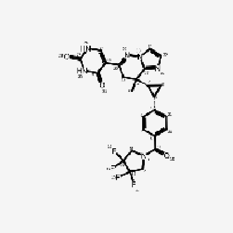 CC1([C@H]2C[C@@H]2c2ccc(C(=O)N3CC(F)(F)C(F)(F)C3)cc2)CC(c2c[nH]c(=O)[nH]c2=O)=Nn2ccnc21